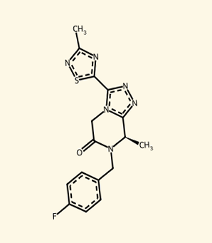 Cc1nsc(-c2nnc3n2CC(=O)N(Cc2ccc(F)cc2)[C@@H]3C)n1